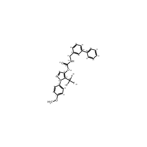 COc1ccc(-n2ncc(OC(=O)NCc3cccc(-c4ccccc4)c3)c2C(F)(F)F)cc1